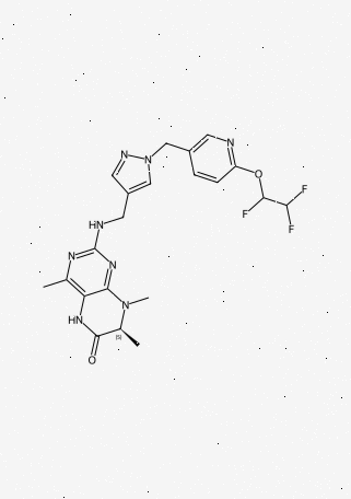 Cc1nc(NCc2cnn(Cc3ccc(OC(F)C(F)F)nc3)c2)nc2c1NC(=O)[C@H](C)N2C